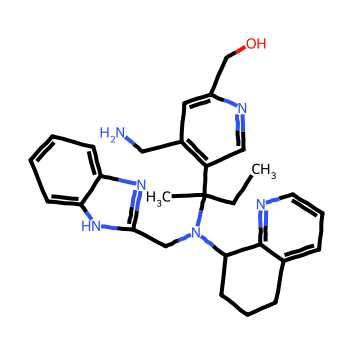 CCC(C)(c1cnc(CO)cc1CN)N(Cc1nc2ccccc2[nH]1)C1CCCc2cccnc21